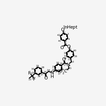 CCCCCCCOc1ccc(C(=O)Oc2ccc(CN(CC(=O)O)C(=O)c3ccc(NCC(=O)c4cccc(C(C)(F)F)c4)cc3)cc2)cc1